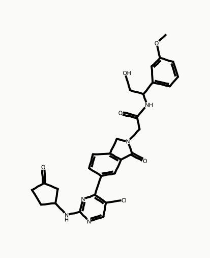 COc1cccc(C(CO)NC(=O)CN2Cc3ccc(-c4nc(NC5CCC(=O)C5)ncc4Cl)cc3C2=O)c1